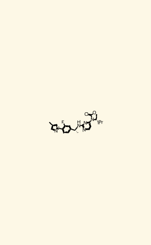 Cc1cnn(-c2ccc([C@@H](C)Nc3nccc(N4C(=O)OC[C@@H]4C(C)C)n3)cc2F)c1